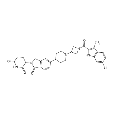 Cc1c(C(=O)N2CC(N3CCC(c4ccc5c(c4)CN(C4CCC(=O)NC4=O)C5=O)CC3)C2)[nH]c2cc(Cl)ccc12